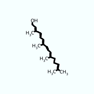 CC(C)=CCC/C(C)=C/C=C/C(C)=C/C=C/C(C)=C/CO